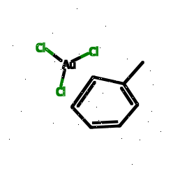 Cc1ccccc1.[Cl][Au]([Cl])[Cl]